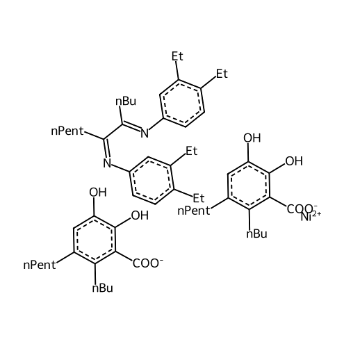 CCCCCC(=Nc1ccc(CC)c(CC)c1)C(CCCC)=Nc1ccc(CC)c(CC)c1.CCCCCc1cc(O)c(O)c(C(=O)[O-])c1CCCC.CCCCCc1cc(O)c(O)c(C(=O)[O-])c1CCCC.[Ni+2]